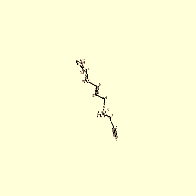 C#CCNCC=CN=[N+]=[N-]